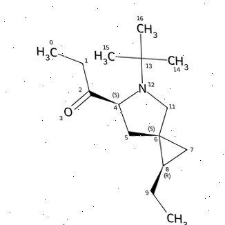 CCC(=O)[C@@H]1C[C@]2(C[C@H]2CC)CN1C(C)(C)C